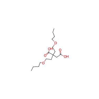 CCCCOCCC(CCOCCCC)(CC(=O)O)C(=O)O